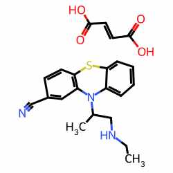 CCNCC(C)N1c2ccccc2Sc2ccc(C#N)cc21.O=C(O)/C=C/C(=O)O